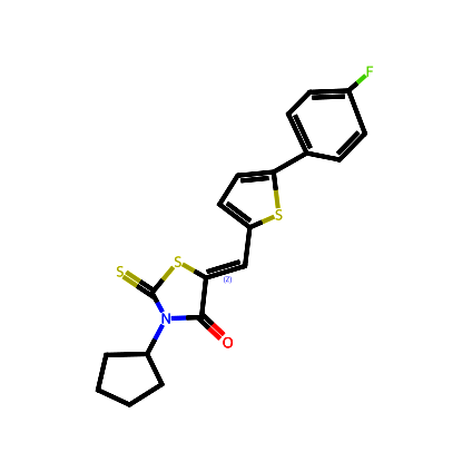 O=C1/C(=C/c2ccc(-c3ccc(F)cc3)s2)SC(=S)N1C1CCCC1